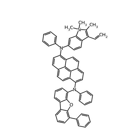 C=CC1=C(C)[Si](C)(C)c2cc(N(c3ccccc3)c3ccc4ccc5c(N(c6ccccc6)c6cccc7c6oc6c(-c8ccccc8)cccc67)ccc6ccc3c4c65)ccc21